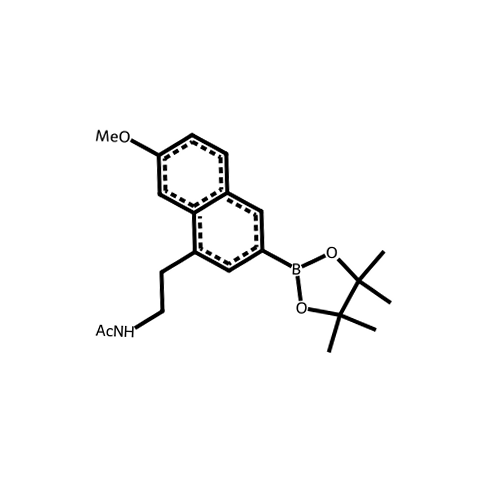 COc1ccc2cc(B3OC(C)(C)C(C)(C)O3)cc(CCNC(C)=O)c2c1